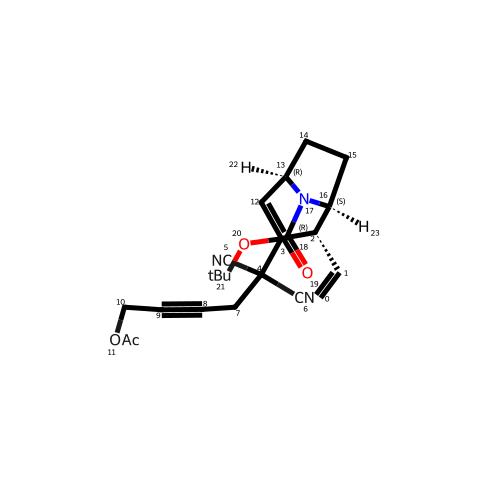 C=C[C@@H]1C(C(C#N)(C#N)CC#CCOC(C)=O)=C[C@H]2CC[C@@H]1N2C(=O)OC(C)(C)C